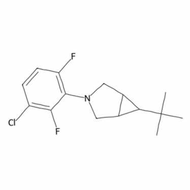 CC(C)(C)C1C2CN(c3c(F)ccc(Cl)c3F)CC21